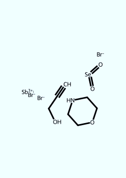 C#CCO.C1COCCN1.O=[Se]=O.[Br-].[Br-].[Br-].[Sb+3]